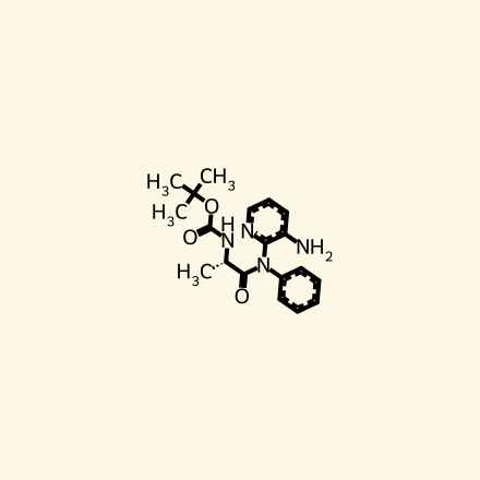 C[C@H](NC(=O)OC(C)(C)C)C(=O)N(c1ccccc1)c1ncccc1N